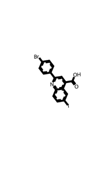 O=C(O)c1cc(-c2ccc(Br)cc2)nc2ccc(I)cc12